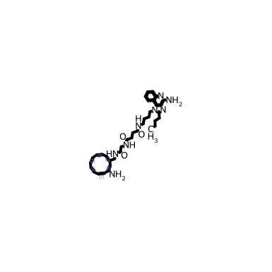 CCCCc1nc2c(N)nc3ccccc3c2n1CCCCNC(=O)CCC(=O)NCC(=O)NCC1=C/C=C\C=C/C=C\C=C/C(N)=C\1